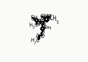 C=CC(=O)C(=O)COc1ccc(-c2nc(-c3ccc(OC)cc3OC)nc(-c3ccc(OC)cc3OC)n2)c(O)c1